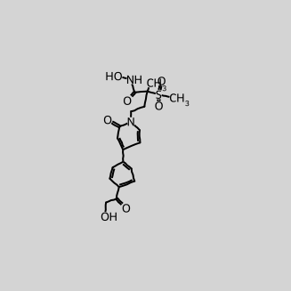 CC(CCn1ccc(-c2ccc(C(=O)CO)cc2)cc1=O)(C(=O)NO)S(C)(=O)=O